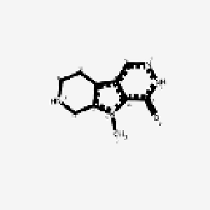 Cn1c2c(c3cn[nH]c(=O)c31)CCNC2